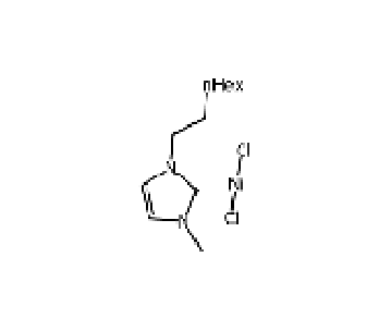 CCCCCCCCN1C=CN(C)C1.[Cl][Ni][Cl]